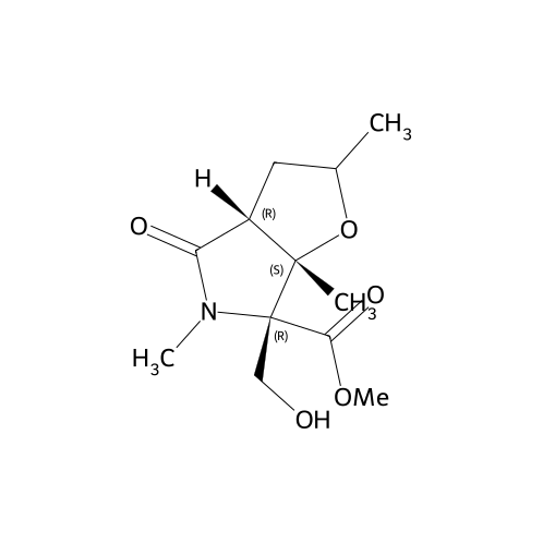 COC(=O)[C@]1(CO)N(C)C(=O)[C@@H]2CC(C)O[C@@]21C